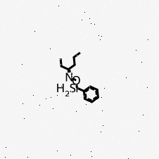 CCCC(CC)=NO[SiH2]c1ccccc1